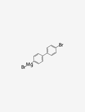 [Br][Mg][c]1ccc(-c2ccc(Br)cc2)cc1